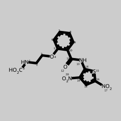 O=C(O)NCCOc1ccccc1C(=O)Nc1sc([N+](=O)[O-])cc1[N+](=O)[O-]